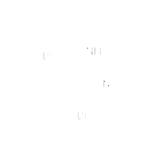 Nc1c(Br)sc(Br)c1N